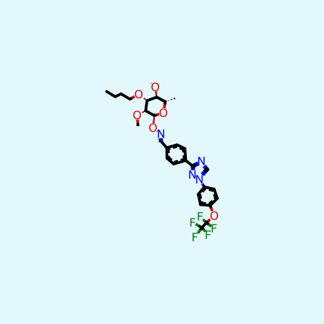 CCCCO[C@@H]1[C@@H](OC)[C@H](C)O[C@@H](O/N=C/c2ccc(-c3ncn(-c4ccc(OC(F)(F)C(F)(F)F)cc4)n3)cc2)[C@@H]1OC